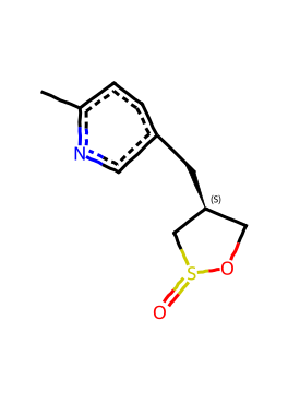 Cc1ccc(C[C@H]2COS(=O)C2)cn1